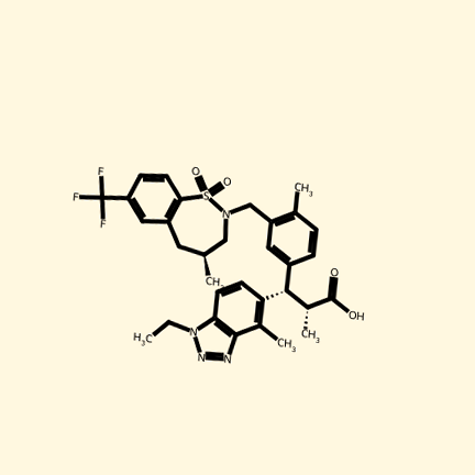 CCn1nnc2c(C)c([C@H](c3ccc(C)c(CN4C[C@@H](C)Cc5cc(C(F)(F)F)ccc5S4(=O)=O)c3)[C@@H](C)C(=O)O)ccc21